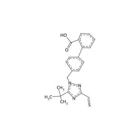 CC(C)(C)c1nc(C=S)nn1Cc1ccc(-c2ccccc2C(=O)O)cc1